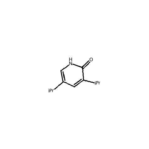 CC(C)c1c[nH]c(=O)c(C(C)C)c1